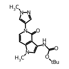 Cn1cc(-n2ccc3c(c(NC(=O)OC(C)(C)C)cn3C)c2=O)cn1